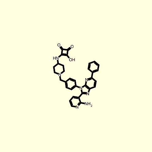 Nc1ncccc1-c1nc2ccc(-c3ccccc3)nc2n1-c1ccc(CN2CCC(Nc3c(O)c(=O)c3=O)CC2)cc1